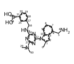 Cc1cc2c(CN)cccc2n1-c1nc(NCc2cccc(B(O)O)c2)nc(N(C)C)n1